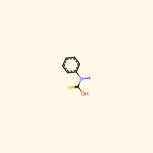 OC(=S)N(I)c1ccccc1